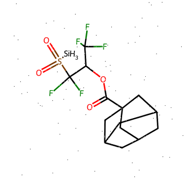 O=C(OC(C(F)(F)F)C(F)(F)S(=O)(=O)[SiH3])C12CC3CC(CC(C3)C1)C2